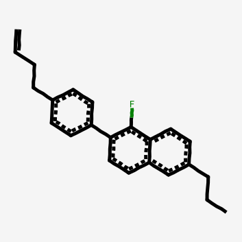 C=CCCc1ccc(-c2ccc3cc(CCC)ccc3c2F)cc1